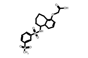 CS(=O)(=O)c1cccc(S(=O)(=O)NC2CCCCC3=C(OCC(=O)O)C=CCC32)c1